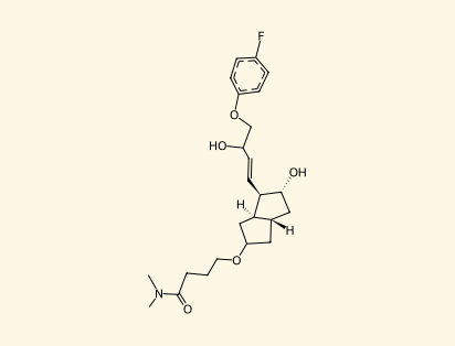 CN(C)C(=O)CCCOC1C[C@H]2C[C@@H](O)[C@H](C=CC(O)COc3ccc(F)cc3)[C@@H]2C1